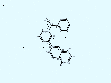 OC(c1ccccc1)c1cccc(-c2ccc3nccnc3c2)c1